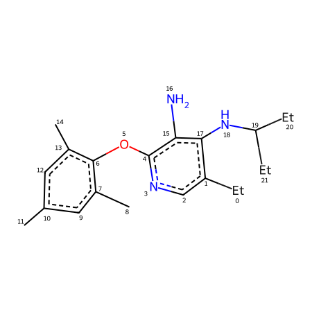 CCc1cnc(Oc2c(C)cc(C)cc2C)c(N)c1NC(CC)CC